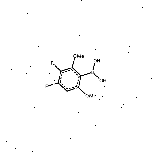 COc1cc(F)c(F)c(OC)c1B(O)O